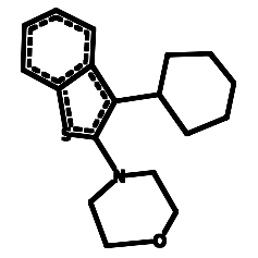 c1ccc2c(C3CCCCC3)c(N3CCOCC3)sc2c1